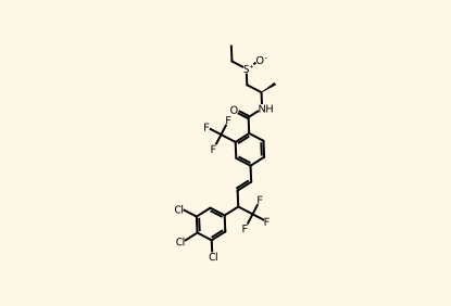 CC[S+]([O-])C[C@@H](C)NC(=O)c1ccc(/C=C/C(c2cc(Cl)c(Cl)c(Cl)c2)C(F)(F)F)cc1C(F)(F)F